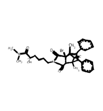 CN(C)C(=O)[C@@H](O)CCCCN1C(=O)C2C3(C)C(=O)C(C)(C(c4ccccc4)=C3c3ccccc3)C2(Br)C1=O